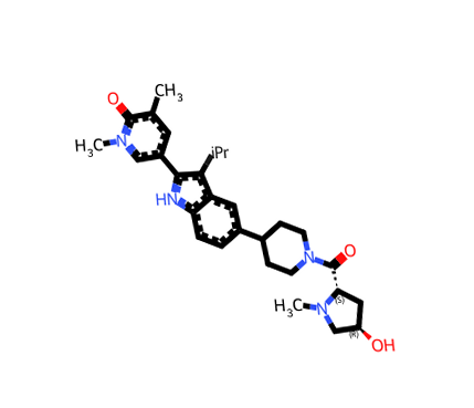 Cc1cc(-c2[nH]c3ccc(C4CCN(C(=O)[C@@H]5C[C@@H](O)CN5C)CC4)cc3c2C(C)C)cn(C)c1=O